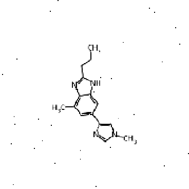 CCCc1nc2c(C)cc(-c3cn(C)cn3)cc2[nH]1